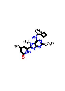 CC(C)c1cc(-c2nc3nc(C(=O)O)nc(N[C@H](C)C4CCC4)c3n2C)[nH]c(=O)c1